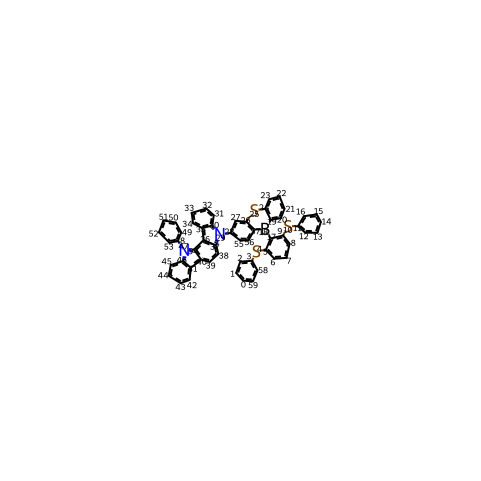 c1ccc(Sc2cccc(Sc3ccccc3)c2B2c3ccccc3Sc3cc(-n4c5ccccc5c5c4ccc4c6ccccc6n(-c6ccccc6)c45)ccc32)cc1